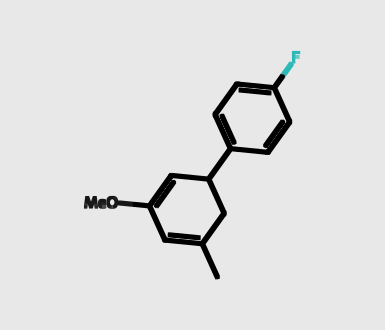 COC1=CC(c2ccc(F)cc2)CC(C)=C1